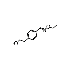 CCON=Cc1ccc(CC[O])cc1